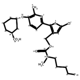 Cc1nc(-c2sc(Cl)cc2COC(=O)N(C)CCCCF)ccc1O[C@H]1CCC[C@H](C(=O)O)C1